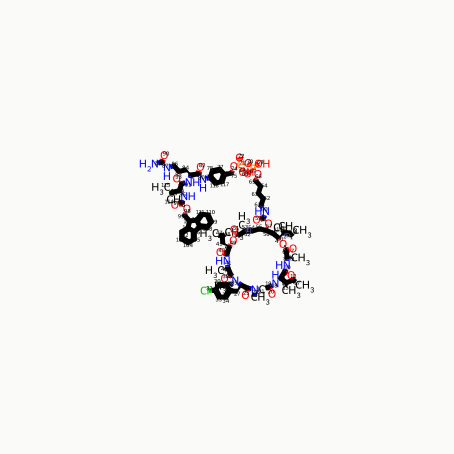 C/C=C(\C)[C@H]1OC(=O)[C@@H](C)NC(=O)[C@H]([C@H](C)CC)NC(=O)CN(C)C(=O)[C@@H](Cc2ccc(Cl)cc2)N(C)C(=O)[C@H](C)NC(=O)[C@@H](CC(C)C)OC(=O)/C(C)=C/C[C@H](OC(=O)NCCCCCOP(=O)(O)OP(=O)(O)OCc2ccc(NC(=O)[C@H](CCCNC(N)=O)NC(=O)[C@H](NC(=O)OCC3c4ccccc4-c4ccccc43)C(C)C)cc2)[C@@H]1C